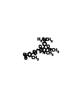 CCOC(=O)C1=C(C)N=c2s/c(=C\c3ccc(-c4ccc([N+](=O)[O-])cc4C)o3)c(=O)n2C1c1ccc(N(C)C)cc1